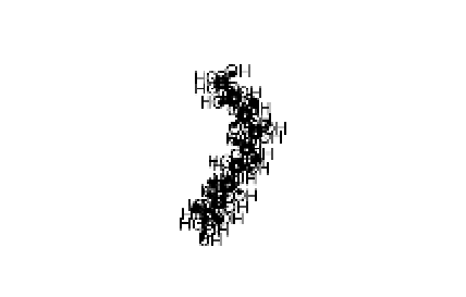 CC(=O)N[C@H]1[C@H](O[C@H]2[C@@H](O)[C@@H](CO)O[C@@H](O[C@H]3[C@H](O)[C@@H](O)[C@H](O)O[C@@H]3CO)[C@@H]2O)O[C@H](CO)[C@@H](O[C@@H]2O[C@H](CO)[C@H](O)[C@H](O[C@@H]3O[C@H](CO)[C@@H](O[C@@H]4O[C@H](CO)[C@H](O)[C@H](O[C@@H]5O[C@H](CO)[C@@H](O[C@@H]6O[C@H](CO)[C@H](O)[C@H](O[C@]7(C(=O)O)C[C@H](O)[C@@H](NC(C)=O)[C@H]([C@H](O)[C@H](O)CO)O7)[C@H]6O)[C@H](O)[C@H]5NC(C)=O)[C@H]4O)[C@H](O)[C@H]3NC(C)=O)[C@H]2O)[C@@H]1O